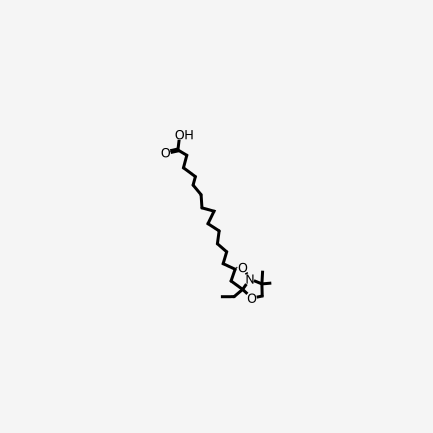 CCC1(CCCCCCCCCCCCCCC(=O)O)OCC(C)(C)N1[O]